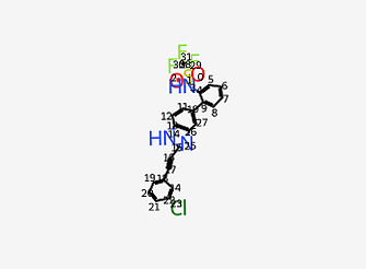 O=S(=O)(Nc1ccccc1-c1ccc2[nH]c(C#Cc3cccc(Cl)c3)nc2c1)C(F)(F)F